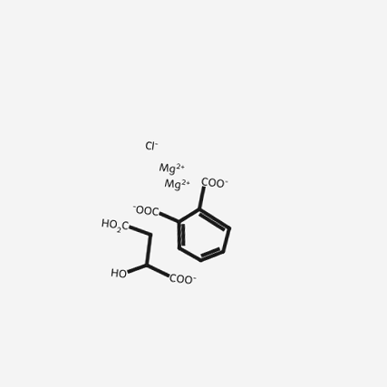 O=C(O)CC(O)C(=O)[O-].O=C([O-])c1ccccc1C(=O)[O-].[Cl-].[Mg+2].[Mg+2]